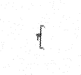 CCCCS(=O)(=O)O.NCCCCCCCCCCCCCCCCCN